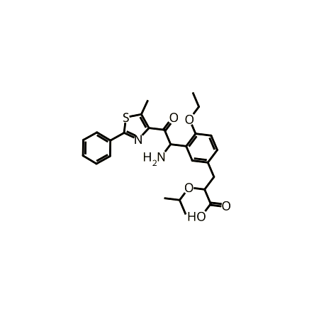 CCOc1ccc(CC(OC(C)C)C(=O)O)cc1C(N)C(=O)c1nc(-c2ccccc2)sc1C